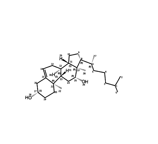 CC(C)CCC[C@@H](C)[C@H]1CC[C@H]2[C@@H]3CC=C4C[C@@H](O)CC[C@]4(C)[C@H]3C[C@@H](O)[C@]12C